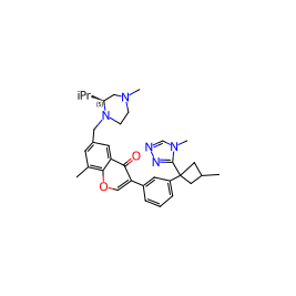 Cc1cc(CN2CCN(C)C[C@@H]2C(C)C)cc2c(=O)c(-c3cccc(C4(c5nncn5C)CC(C)C4)c3)coc12